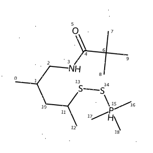 CC(CNC(=O)C(C)(C)C)CC(C)SS[PH](C)(C)C